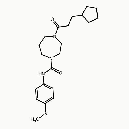 CSc1ccc(NC(=O)N2CCCN(C(=O)CCC3CCCC3)CC2)cc1